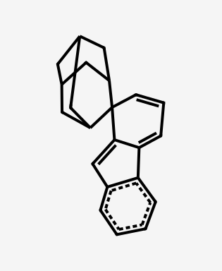 C1=CC2(C3=Cc4ccccc4C3=C1)C1CC3CC(C1)CC2C3